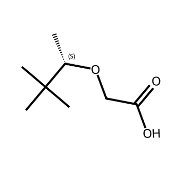 C[C@H](OCC(=O)O)C(C)(C)C